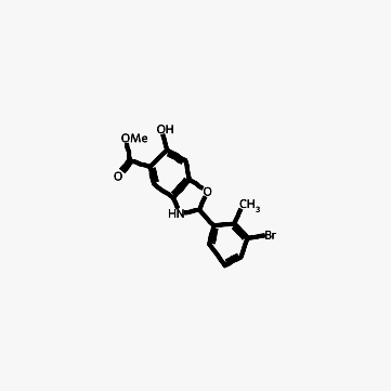 COC(=O)c1cc2c(cc1O)OC(c1cccc(Br)c1C)N2